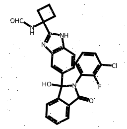 O=CNC1(c2nc3cc(C4(O)c5ccccc5C(=O)N4c4cccc(Cl)c4F)ccc3[nH]2)CCC1